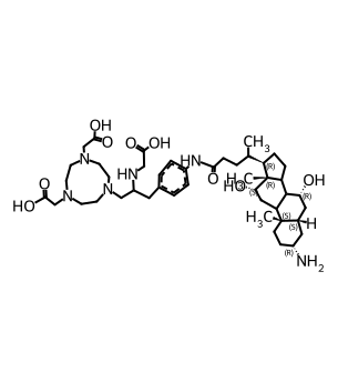 CC(CCC(=O)Nc1ccc(CC(CN2CCN(CC(=O)O)CCN(CC(=O)O)CC2)NCC(=O)O)cc1)[C@H]1CCC2C3C(C[C@H](O)[C@@]21C)[C@@]1(C)CC[C@@H](N)C[C@H]1C[C@H]3O